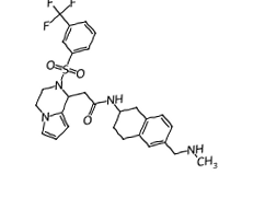 CNCc1ccc2c(c1)CCC(NC(=O)CC1c3cccn3CCN1S(=O)(=O)c1cccc(C(F)(F)F)c1)C2